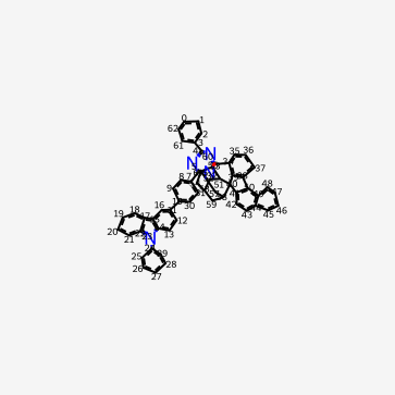 c1ccc(-c2nc(-c3ccc(-c4ccc5c(c4)c4ccccc4n5-c4ccccc4)cc3)nc(-c3cccc4c3C3(c5ccc6ccccc6c5-4)C4CC5CC(C4)CC3C5)n2)cc1